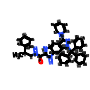 CC(CNC(=O)c1nc2cc3c(N4C=CC=CC4)nn(C(c4ccccc4)(c4ccccc4)c4ccccc4)c3cc2[nH]1)c1ccccc1